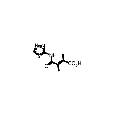 CC(C(=O)O)=C(C)C(=O)Nc1nncs1